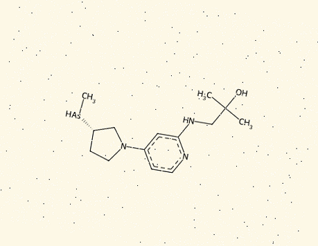 C[AsH][C@H]1CCN(c2ccnc(NCC(C)(C)O)c2)C1